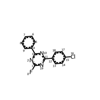 Fc1nc(-c2ccccc2)nc(-c2ccc(Cl)cc2)n1